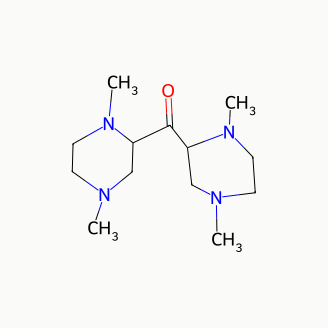 CN1CCN(C)C(C(=O)C2CN(C)CCN2C)C1